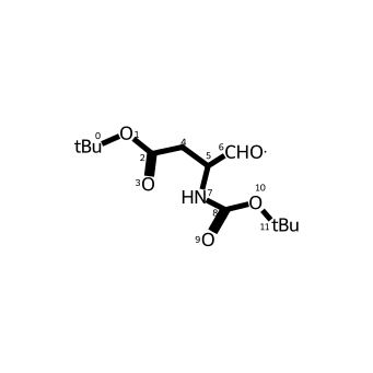 CC(C)(C)OC(=O)CC([C]=O)NC(=O)OC(C)(C)C